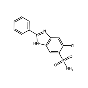 NS(=O)(=O)c1cc2[nH]c(-c3ccccc3)nc2cc1Cl